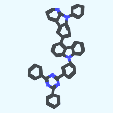 c1ccc(-c2nc(-c3ccccc3)nc(-c3cccc(-n4c5ccccc5c5c(-c6ccc7c(c6)c6cccnc6n7-c6ccccc6)cccc54)c3)n2)cc1